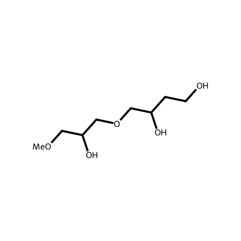 COCC(O)COCC(O)CCO